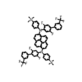 C[Si](C)(C)c1ccc(N(c2cc(F)c(-c3cccc(C(F)(F)F)c3)cc2F)c2ccc3ccc4c(N(c5ccc([Si](C)(C)C)cc5)c5cc(F)c(-c6cccc(C(F)(F)F)c6)cc5F)ccc5ccc2c3c54)cc1